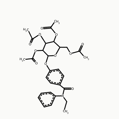 CCN(C(=O)c1ccc(OC2OC(COC(C)=O)C(OC(C)=O)C(OC(C)=O)C2OC(C)=O)cc1)c1ccccc1